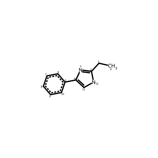 CCC1=NC(c2ccccc2)=C[N]1